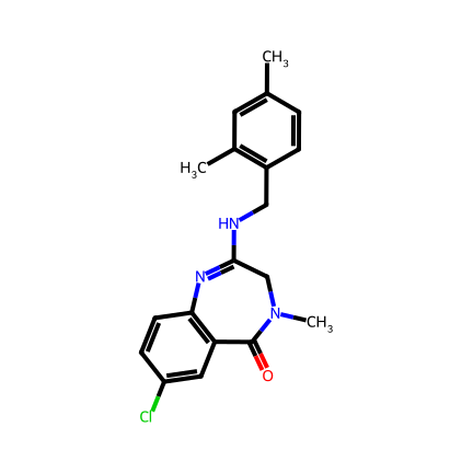 Cc1ccc(CNC2=Nc3ccc(Cl)cc3C(=O)N(C)C2)c(C)c1